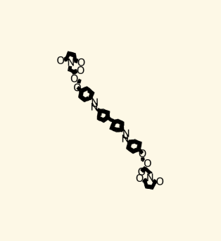 O=C(CN1C(=O)C=CC1=O)OCOc1ccc(N=Nc2ccc(-c3ccc(N=Nc4ccc(OCOC(=O)CN5C(=O)C=CC5=O)cc4)cc3)cc2)cc1